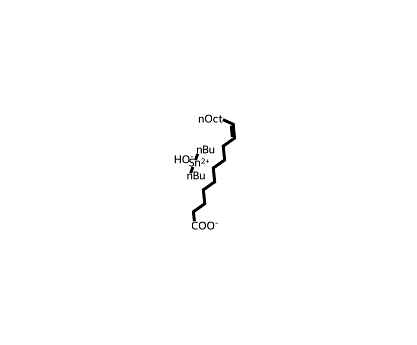 CCCCCCCC/C=C\CCCCCCCC(=O)[O-].CCC[CH2][Sn+2][CH2]CCC.[OH-]